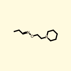 CC/C=N/OCCN1CCCCC1